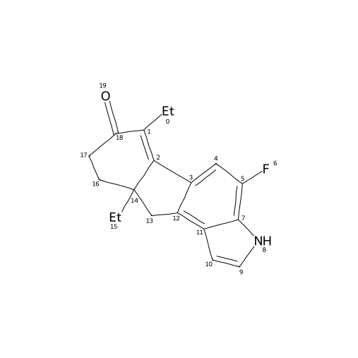 CCC1=C2c3cc(F)c4[nH]ccc4c3CC2(CC)CCC1=O